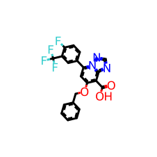 O=C(O)c1c(OCc2ccccc2)cc(-c2ccc(F)c(C(F)(F)F)c2)n2ncnc12